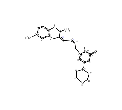 CC1Sc2ccc(N)cc2S/C1=C/C=C\Cc1cc(N2CCOCC2)cc(=O)[nH]1